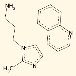 Cc1nccn1CCCN.c1ccc2ncccc2c1